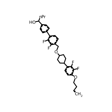 C=CCCOc1ccc(C2CCC(OCc3ccc(-c4ccc(C(O)CCC)cc4)c(F)c3F)CC2)c(F)c1F